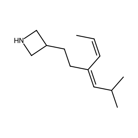 C/C=C\C(=C/C(C)C)CCC1CNC1